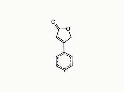 O=C1C=C(c2cc[c]cc2)CO1